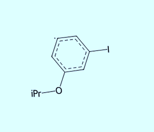 CC(C)Oc1c[c]cc(I)c1